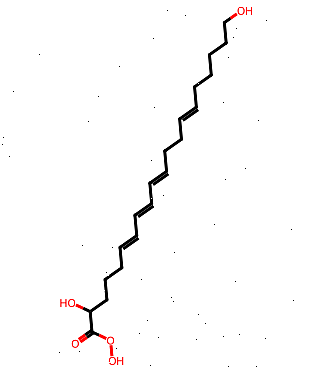 O=C(OO)C(O)CCCC=CC=CC=CCCC=CCCCCCO